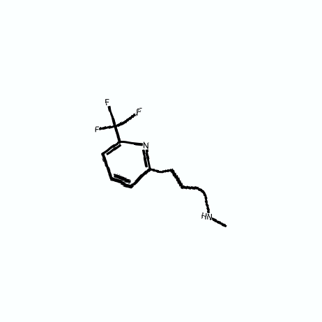 CNCCCc1cccc(C(F)(F)F)n1